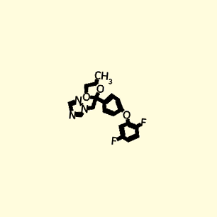 CC1COC(Cn2cncn2)(c2ccc(Oc3cc(F)ccc3F)cc2)O1